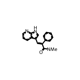 CNC(=O)C(=Cc1c[nH]c2ncccc12)c1ccccc1